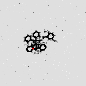 COc1ccccc1C(O)(c1ccccc1OC)[C@@H](C[C@@](C)(N=Cc1cc([N+](=O)[O-])ccc1O)C(O)(c1ccccc1OC)c1ccccc1OC)N=Cc1ccccc1O